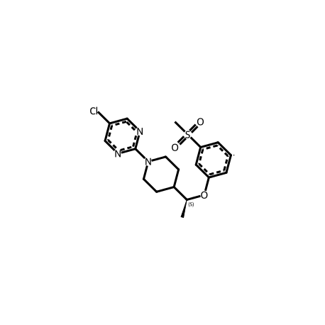 C[C@H](Oc1c[c]cc(S(C)(=O)=O)c1)C1CCN(c2ncc(Cl)cn2)CC1